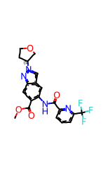 COC(=O)c1cc2nn([C@H]3CCOC3)cc2cc1NC(=O)c1cccc(C(F)(F)F)n1